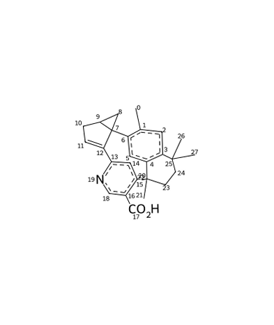 Cc1cc2c(cc1C13CC1CC=C3c1ccc(C(=O)O)cn1)C(C)(C)CCC2(C)C